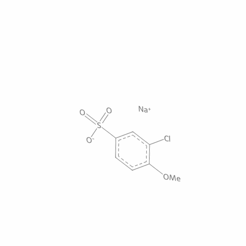 COc1ccc(S(=O)(=O)[O-])cc1Cl.[Na+]